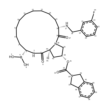 O=C1N[C@H](B(O)O)CCCCCCCCC[C@H](NCc2cccc(F)c2)C(=O)N2C[C@H](OC(=O)N3Cc4ccccc4C3)C[C@@H]12